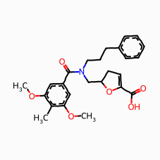 COc1cc(C(=O)N(CCCc2ccccc2)CC2CC=C(C(=O)O)O2)cc(OC)c1C